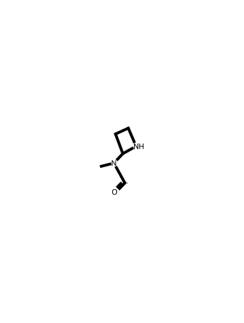 CN([C]=O)C1CCN1